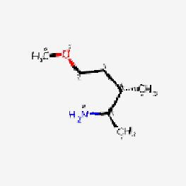 COCC[C@H](C)[C@@H](C)N